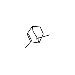 CC1=CC2CCC1N(C)C2